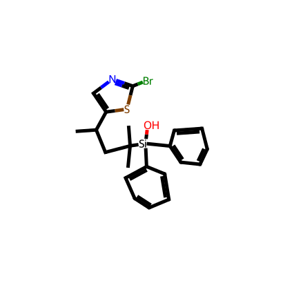 CC(CC(C)(C)[Si](O)(c1ccccc1)c1ccccc1)c1cnc(Br)s1